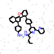 C/C=C\C=C(/N)c1cc(-c2ccc(-c3cccc4oc5c6ccccc6c(-c6ccc(N)cc6)cc5c34)cc2)cc(-c2ccccn2)n1